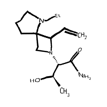 C=CC1N([C@H](C(N)=O)[C@@H](C)O)CC12CCCN2CC